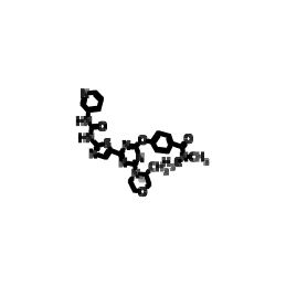 C[C@H]1COCCN1c1nc(Oc2ccc(C(=O)N(C)C)cc2)nc(-c2cnc(NC(=O)Nc3cccnc3)s2)n1